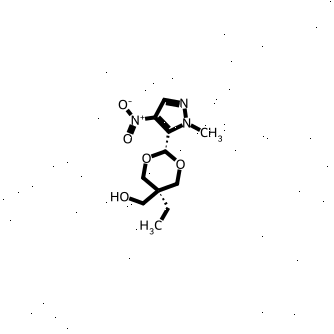 CC[C@]1(CO)CO[C@H](c2c([N+](=O)[O-])cnn2C)OC1